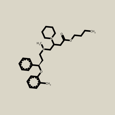 CCCCOC(=O)CC(CN(C)CC[C@@H](Oc1ccccc1C)c1ccccc1)N1CCCCC1